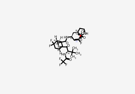 CC(C)(C)[C@@H](NC(=O)C(F)(F)F)C(=O)N1[C@@H]2CC[C@H]([C@H]1C(=O)N[C@H](/C=C(/F)S(C)(=O)=O)C[C@H]1CCNC1=O)C(F)(F)C2